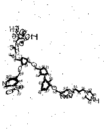 Cc1c(COc2ccc(CN(C)CC(=O)NCC(S(=O)(=O)O)S(=O)(=O)O)c(OCc3cncc(S(C)(=O)=O)c3)c2)cccc1-c1cccc(OCc2cn(CCCN3CCNCC3)nn2)c1C